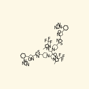 Cc1cc(C(F)(F)F)nn1CC(C(=O)C(Cn1nc(C(F)(F)F)cc1C)N1CCC(c2nc(C3=NOC(c4ccccc4-n4cncn4)C3)cs2)CC1)N1CCC(c2nc(C3=NOC(c4ccccc4-n4cncn4)C3)cs2)CC1